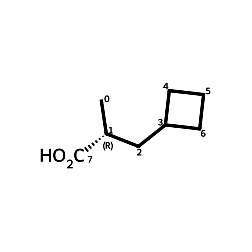 C[C@H](CC1CCC1)C(=O)O